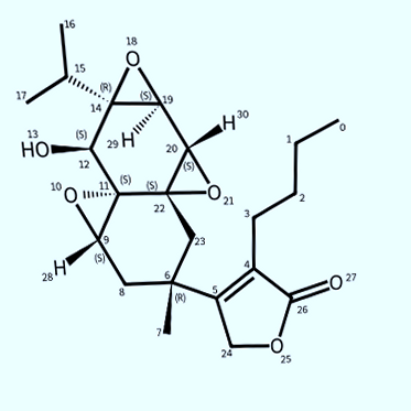 CCCCC1=C([C@]2(C)C[C@@H]3O[C@@]34[C@@H](O)[C@@]3(C(C)C)O[C@H]3[C@@H]3O[C@@]34C2)COC1=O